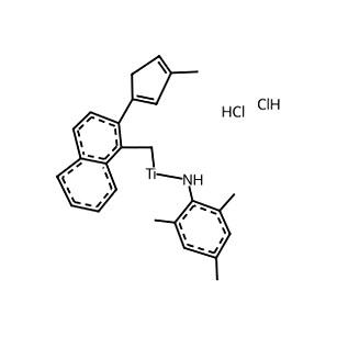 CC1=CCC(c2ccc3ccccc3c2[CH2][Ti][NH]c2c(C)cc(C)cc2C)=C1.Cl.Cl